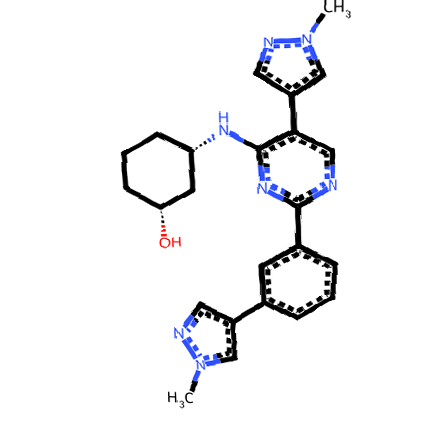 Cn1cc(-c2cccc(-c3ncc(-c4cnn(C)c4)c(N[C@H]4CCC[C@@H](O)C4)n3)c2)cn1